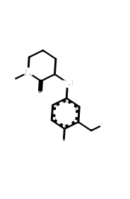 CN1CCCC(Nc2ccc(Cl)c(CO)c2)C1=O